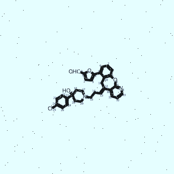 O=Cc1ccc(-c2cccc3c2CC(=CCCN2CCC(O)(c4ccc(Cl)cc4)CC2)c2cccnc2O3)o1